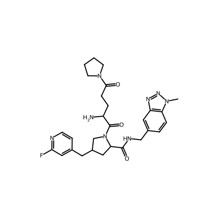 Cn1nnc2cc(CNC(=O)C3CC(Cc4ccnc(F)c4)CN3C(=O)C(N)CCC(=O)N3CCCC3)ccc21